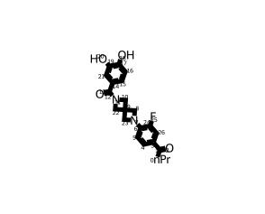 CCCC(=O)c1ccc(N2CC3(CN(C(=O)c4ccc(O)c(O)c4)C3)C2)c(F)c1